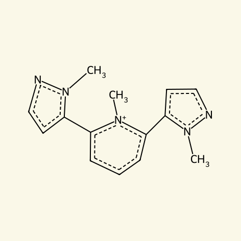 Cn1nccc1-c1cccc(-c2ccnn2C)[n+]1C